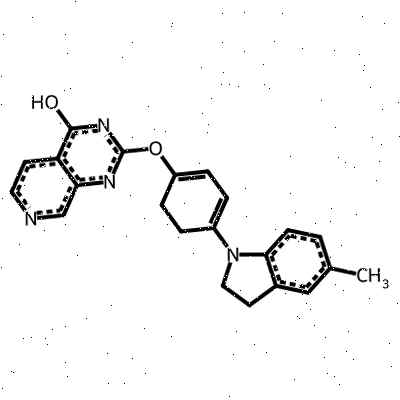 Cc1ccc2c(c1)CCN2C1=CC=C(Oc2nc(O)c3ccncc3n2)CC1